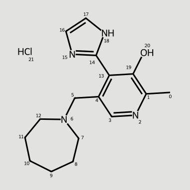 Cc1ncc(CN2CCCCCC2)c(-c2ncc[nH]2)c1O.Cl